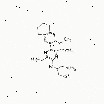 CCc1nc(-c2cc3c(cc2OC)CCCC3)c(CC)nc1NC(CC)CC